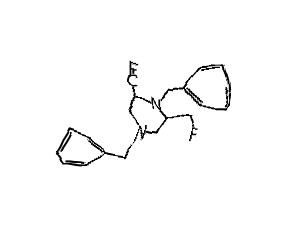 FCC1CN(Cc2ccccc2)CC(CF)N1Cc1ccccc1